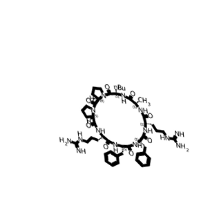 CCCC[C@@H]1NC(=O)[C@H](C)NC(=O)[C@H](CCCNC(=N)N)NC(=O)[C@H](Cc2ccccc2)NC(=O)[C@H](Cc2ccccc2)NC(=O)[C@H](CCCNC(=N)N)NC(=O)[C@@H]2CCCN2C(=O)[C@H]2CCCN2C1=O